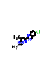 Cc1cn2nc(-c3ncc4cc(Cl)ccc4n3)cc(C)c2n1